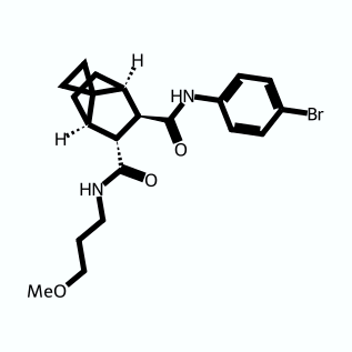 COCCCNC(=O)[C@H]1[C@H](C(=O)Nc2ccc(Br)cc2)[C@@H]2CC[C@H]1C21CC1